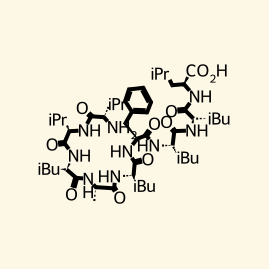 CC[C@H](C)[C@H](NC(=O)[C@H](C)NC(=O)[C@@H](NC(=O)[C@@H](NC(=O)[C@@H](N)C(C)C)C(C)C)[C@@H](C)CC)C(=O)N[C@@H](Cc1ccccc1)C(=O)N[C@H](C(=O)N[C@H](C(=O)N[C@@H](CC(C)C)C(=O)O)[C@@H](C)CC)[C@@H](C)CC